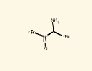 CCCCC(N)[NH+]([O-])CCC